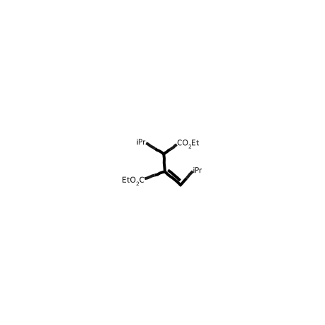 CCOC(=O)C(=CC(C)C)C(C(=O)OCC)C(C)C